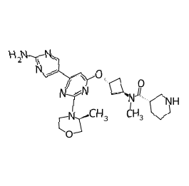 C[C@H]1COCCN1c1nc(O[C@H]2C[C@H](N(C)C(=O)[C@H]3CCCNC3)C2)cc(-c2cnc(N)nc2)n1